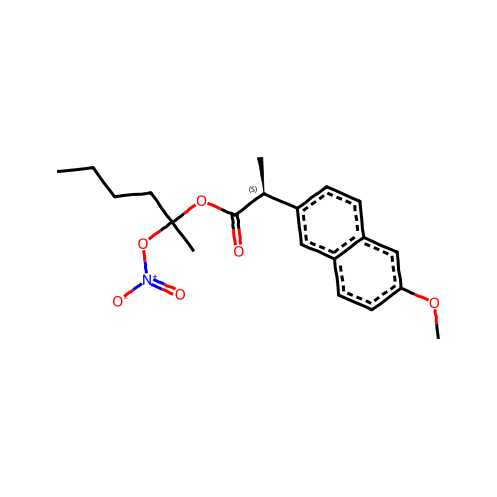 CCCCC(C)(OC(=O)[C@@H](C)c1ccc2cc(OC)ccc2c1)O[N+](=O)[O-]